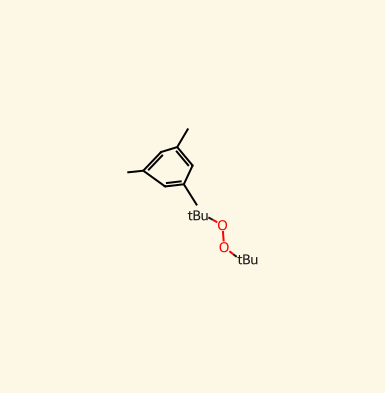 CC(C)(C)OOC(C)(C)C.Cc1cc(C)cc(C)c1